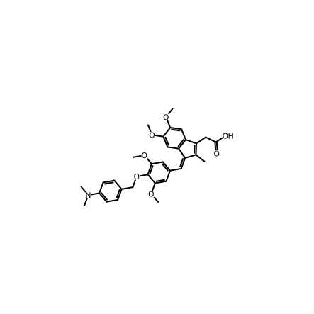 COc1cc2c(cc1OC)/C(=C\c1cc(OC)c(OCc3ccc(N(C)C)cc3)c(OC)c1)C(C)=C2CC(=O)O